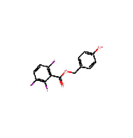 O=C(OCc1ccc(O)cc1)c1c(I)ccc(I)c1I